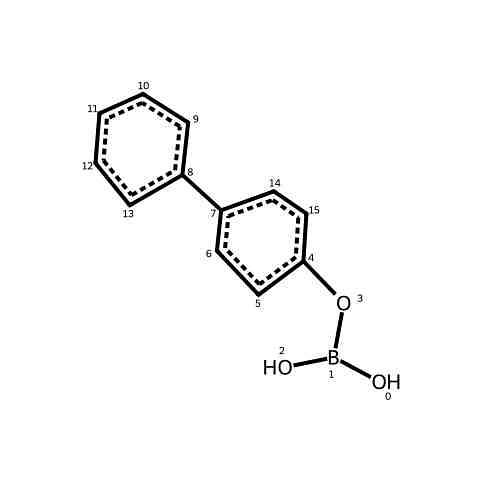 OB(O)Oc1ccc(-c2ccccc2)cc1